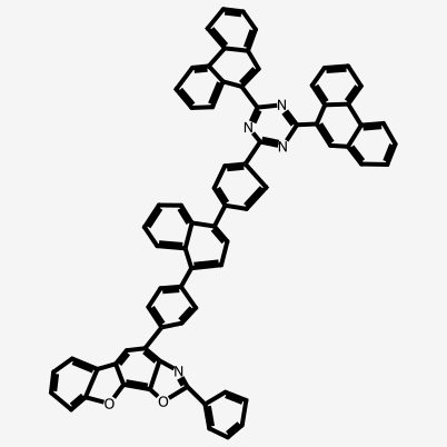 c1ccc(-c2nc3c(-c4ccc(-c5ccc(-c6ccc(-c7nc(-c8cc9ccccc9c9ccccc89)nc(-c8cc9ccccc9c9ccccc89)n7)cc6)c6ccccc56)cc4)cc4c5ccccc5oc4c3o2)cc1